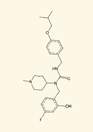 CC(C)COc1ccc(CNC(=O)N(Cc2ccc(F)cc2O)C2CCN(C)CC2)cc1